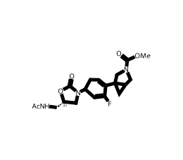 COC(=O)N1CC2CC2(C2=CCC(N3C[C@H](CNC(C)=O)OC3=O)C=C2F)C1